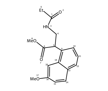 CCC(=O)NCC(C(=O)OC)c1cccc2ccc(OC)cc12